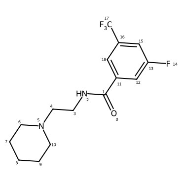 O=C(NCCN1CCCCC1)c1cc(F)cc(C(F)(F)F)c1